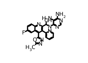 Cc1nnc(-c2c(-c3ccccn3)c(C(C)Nc3ncnc(N)c3N)nc3ccc(F)cc23)o1